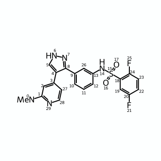 CNc1cc(-c2c[nH]nc2-c2cccc(NS(=O)(=O)c3cc(F)ccc3F)c2)ccn1